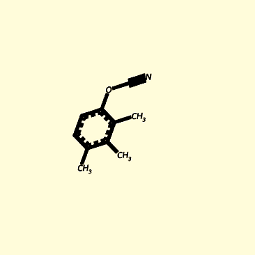 Cc1ccc(OC#N)c(C)c1C